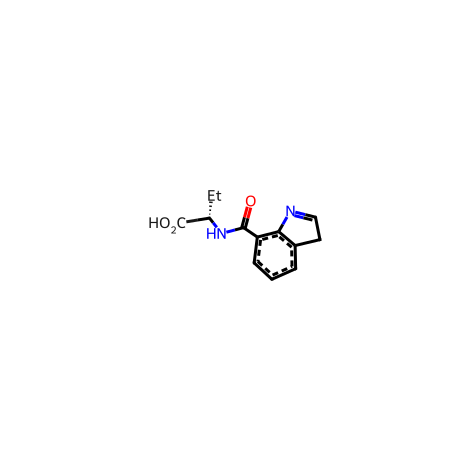 CC[C@H](NC(=O)c1cccc2c1N=CC2)C(=O)O